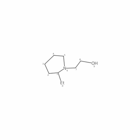 CCC1CCCCN1CCO